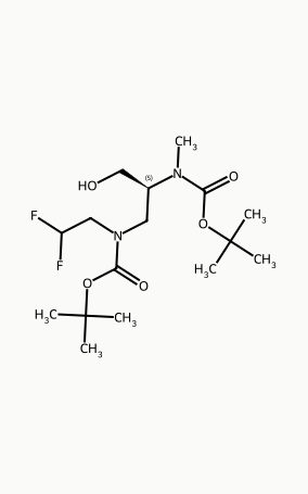 CN(C(=O)OC(C)(C)C)[C@H](CO)CN(CC(F)F)C(=O)OC(C)(C)C